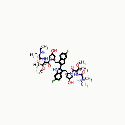 C=CN[C@@H](C)C(=O)N[C@H](C(=O)N1C[C@@H](O)C[C@H]1CC1=C(c2[nH]c3cc(F)ccc3c2C[C@@H]2C[C@H](O)CN2C(=O)[C@@H](NC(=O)[C@H](C)NC)[C@@H](C)OC)Cc2cc(F)ccc21)[C@@H](C)OC